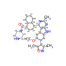 COc1cc2c(cc1-c1c(C)noc1C)[nH]c1nc(C)nc(-c3ccc(C(=O)N4CCNCC4)c4ccccc34)c12